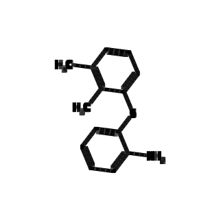 Cc1cccc(Sc2ccccc2N)c1C